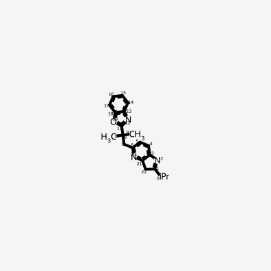 CC(C)C1=Nc2ccc(CC(C)(C)c3nc4ccccc4o3)nc2C1